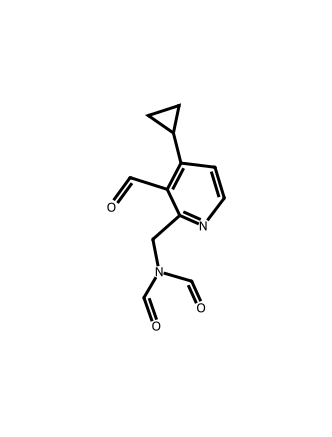 O=Cc1c(C2CC2)ccnc1CN(C=O)C=O